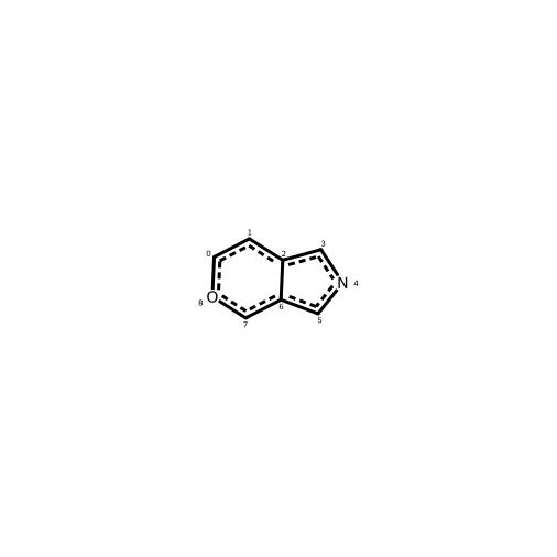 c1cc2cncc-2co1